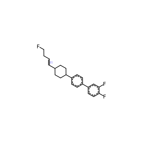 FCC/C=C/C1CCC(c2ccc(-c3ccc(F)c(F)c3)cc2)CC1